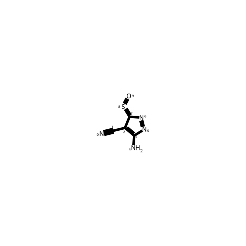 N#CC1=C(N)N=NC1=S=O